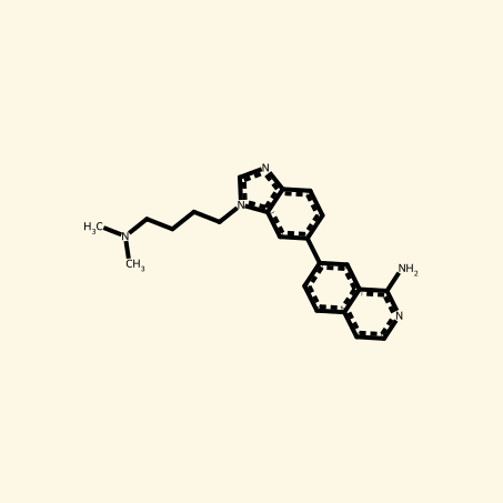 CN(C)CCCCn1cnc2ccc(-c3ccc4ccnc(N)c4c3)cc21